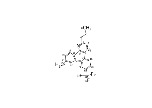 CCCc1cnc(-c2ccc(C(F)(F)F)cc2)c(-c2ccc(C)cc2)n1